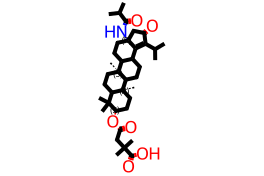 CC(C)C(=O)N[C@@]12CCC3C(CCC4[C@@]3(C)CCC3C(C)(C)[C@@H](OC(=O)CC(C)(C)C(=O)O)CC[C@@]34C)C1=C(C(C)C)C(=O)C2